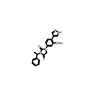 COc1cc(N2CC(=O)N(C(C)c3ccccc3)C2=O)ccc1-c1cn[nH]c1